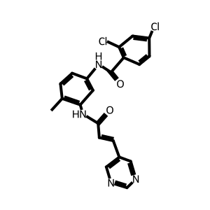 Cc1ccc(NC(=O)c2ccc(Cl)cc2Cl)cc1NC(=O)C=Cc1cncnc1